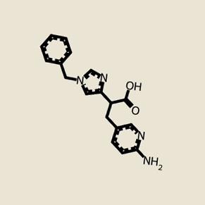 Nc1ccc(CC(C(=O)O)c2cn(Cc3ccccc3)cn2)cn1